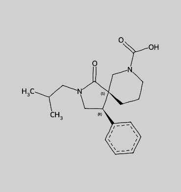 CC(C)CN1C[C@H](c2ccccc2)[C@]2(CCCN(C(=O)O)C2)C1=O